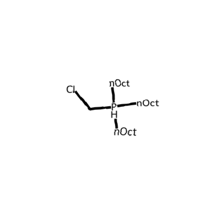 CCCCCCCC[PH](CCl)(CCCCCCCC)CCCCCCCC